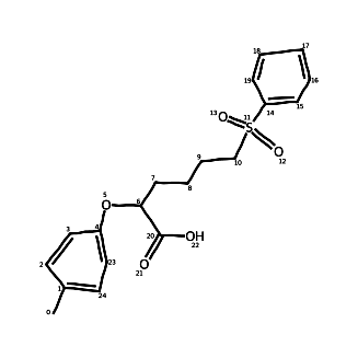 Cc1ccc(OC(CCCCS(=O)(=O)c2ccccc2)C(=O)O)cc1